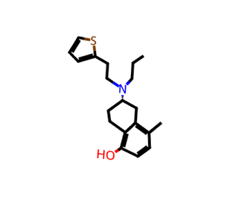 CCCN(CCc1cccs1)[C@H]1CCc2c(O)ccc(C)c2C1